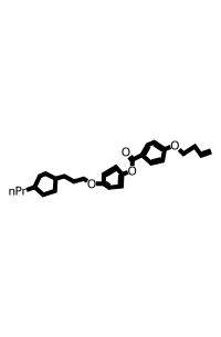 C=CCCOc1ccc(C(=O)Oc2ccc(OCCCC3CCC(CCC)CC3)cc2)cc1